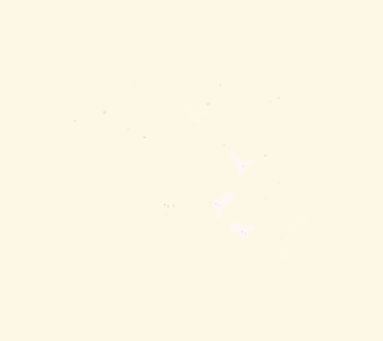 O=C([O-])c1ncnc2c1ccn2Cc1cc(Cl)ccc1OCc1ccc(F)cc1F.[Na+]